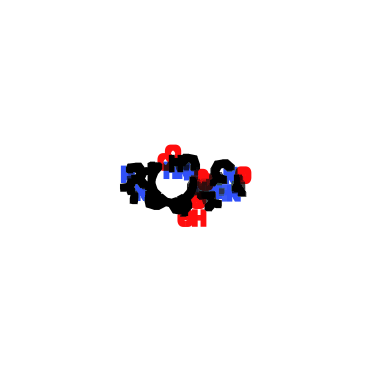 CCn1c(-c2cccnc2C(C)C)c2c3cc(ccc31)-c1cc(O)cc(c1)C[C@H](NC(=O)[C@H](C(C)C)N(C)C(=O)[C@H]1CCCCN(C(=O)[C@H]3CN3)C1)C(=O)N1CCC[C@H](N1)C(=O)OCC(C)(C)C2